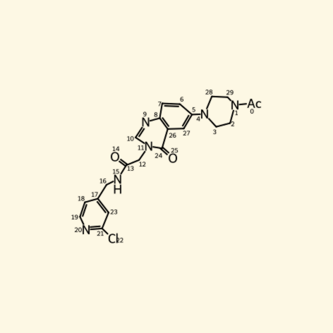 CC(=O)N1CCN(c2ccc3ncn(CC(=O)NCc4ccnc(Cl)c4)c(=O)c3c2)CC1